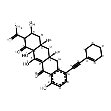 NC(=O)C1C(=O)[C@@]2(O)C(O)=C3C(=O)c4c(O)ccc(C#CC5=CCCCC5)c4C[C@H]3C[C@H]2CC1O